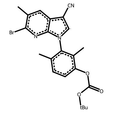 Cc1cc2c(C#N)[c]n(-c3c(C)ccc(OC(=O)OC(C)(C)C)c3C)c2nc1Br